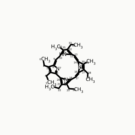 CCC1=C(CC)c2nc1cc1[nH]c(cc3[nH]c(cc4[nH]c2c(CC)c4CC)c(CC)c3C)c(CC)c1C